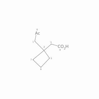 CC(=O)CC1(CC(=O)O)CCC1